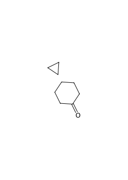 C1CC1.O=C1CCCCC1